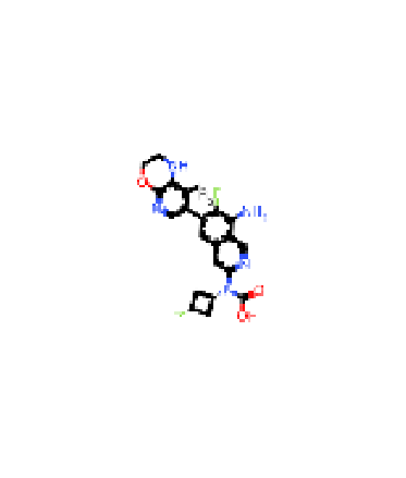 Cc1c(-c2cc3cc(N(C(=O)O)[C@H]4C[C@@H](F)C4)ncc3c(N)c2F)cnc2c1NCCO2